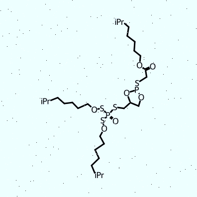 CC(C)CCCCCOSP(=O)(SCC1COP(SCC(=O)OCCCCCC(C)C)O1)SOCCCCCC(C)C